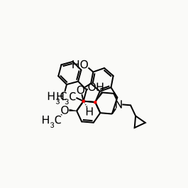 CO[C@]12C=CC3(CC1(C)[C@H](O)c1ccccc1C)C1Cc4ccc(O)c5c4[C@@]3(CCN1CC1CC1)[C@@H]2O5